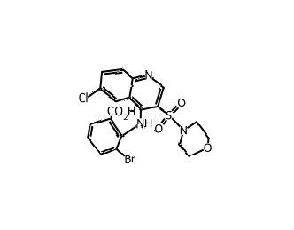 O=C(O)c1cccc(Br)c1Nc1c(S(=O)(=O)N2CCOCC2)cnc2ccc(Cl)cc12